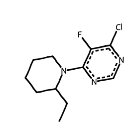 CCC1CCCCN1c1ncnc(Cl)c1F